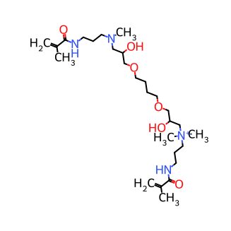 C=C(C)C(=O)NCCCN(C)CC(O)COCCCCOCC(O)C[N+](C)(C)CCCNC(=O)C(=C)C